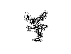 c1ccc(-c2ccc(N(c3cccc(-c4ccccc4-n4c5ccc(-c6ccccc6)cc5c5cc(-c6ccccc6)ccc54)c3)c3ccc4c(c3)sc3ccccc34)cc2)cc1